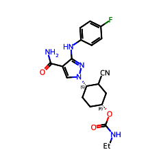 CCNC(=O)O[C@@H]1CC[C@H](n2cc(C(N)=O)c(Nc3ccc(F)cc3)n2)C(C#N)C1